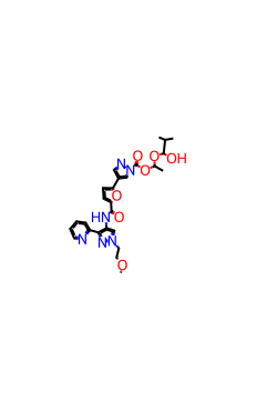 COCCn1cc(NC(=O)c2ccc(-c3cnn(C(=O)OC(C)OC(O)C(C)C)c3)o2)c(-c2ccccn2)n1